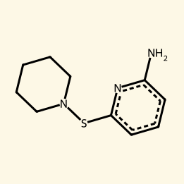 Nc1cccc(SN2CCCCC2)n1